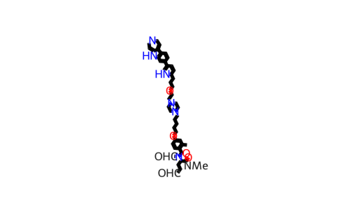 CNC(=O)C(CCC=O)N(C=O)C(=O)c1ccc(OCCCCCN2CCN(CCOCCCC3C=CC(c4ccc5c6c([nH]c5c4)=CC=NCC=6)=CN3)CC2)cc1C